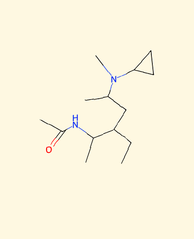 CCC(CC(C)N(C)C1CC1)C(C)NC(C)=O